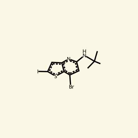 CC(C)(C)Nc1cc(Br)c2sc(I)cc2n1